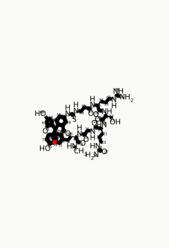 CNC(=O)[C@H](CCc1ccccc1)NC(=O)CNC(=O)[C@H](CCCNC(N)=O)NC(=O)[C@H](CO)NC(=O)[C@H](CCCNC(=N)N)NC(=O)CCNC(=S)Nc1ccc2c(c1)C(=O)OC21c2ccc(O)cc2Oc2cc(O)ccc21